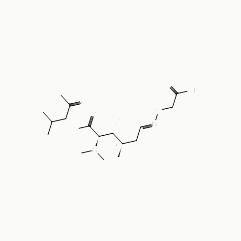 CC(=O)[C@H](NC(=O)[C@@H]([C@H](O)[C@H](C)C/C=N/OCC(=O)O)N(C)C)C(C)C